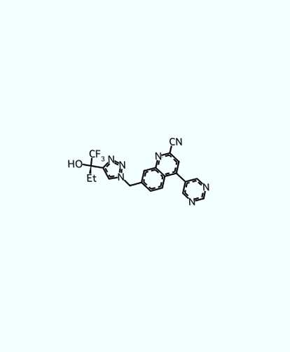 CC[C@](O)(c1cn(Cc2ccc3c(-c4cncnc4)cc(C#N)nc3c2)nn1)C(F)(F)F